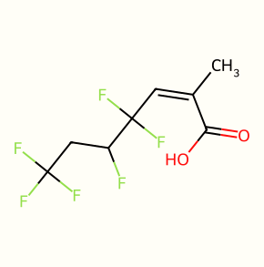 CC(=CC(F)(F)C(F)CC(F)(F)F)C(=O)O